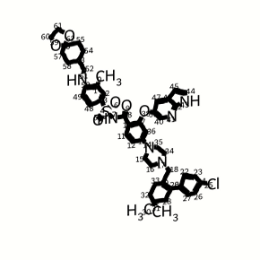 Cc1cc(S(=O)(=O)NC(=O)c2ccc(N3CCN(CC4=C(c5ccc(Cl)cc5)CC(C)(C)CC4)CC3)cc2Oc2cnc3[nH]ccc3c2)ccc1NCC1CCC2(CC1)OCCO2